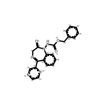 O=C(NN1C(=O)CN=C(c2cnccn2)c2ccccc21)OCc1ccccc1